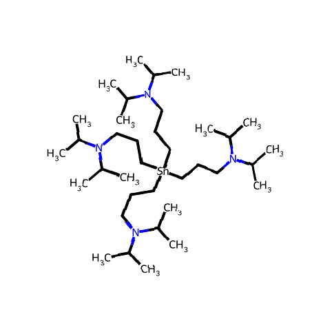 CC(C)N(CC[CH2][Sn]([CH2]CCN(C(C)C)C(C)C)([CH2]CCN(C(C)C)C(C)C)[CH2]CCN(C(C)C)C(C)C)C(C)C